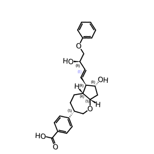 O=C(O)c1ccc([C@@H]2CC[C@@H]3[C@@H](/C=C/[C@@H](O)COc4ccccc4)[C@H](O)C[C@@H]3OC2)cc1